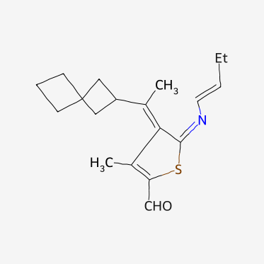 CC/C=C/N=C1/SC(C=O)=C(C)/C1=C(/C)C1CC2(CCC2)C1